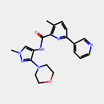 Cc1ccc(-c2cccnc2)nc1C(=O)Nc1cn(C)nc1N1CCOCC1